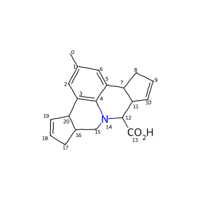 Cc1cc2c3c(c1)C1CC=CC1C(C(=O)O)N3CC1CC=CC21